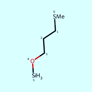 CSCCCO[SiH3]